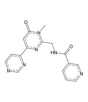 Cn1c(CNC(=O)c2cccnc2)nc(-c2ccncn2)cc1=O